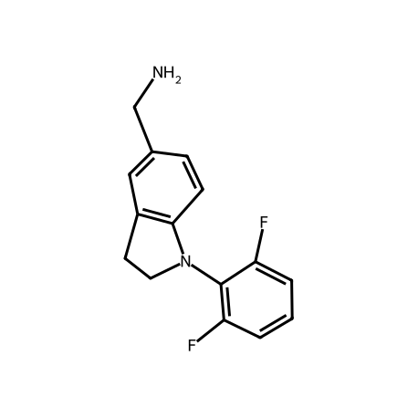 NCc1ccc2c(c1)CCN2c1c(F)cccc1F